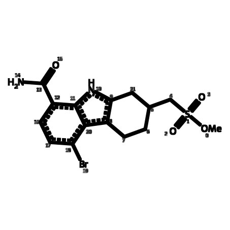 COS(=O)(=O)CC1CCc2c([nH]c3c(C(N)=O)ccc(Br)c23)C1